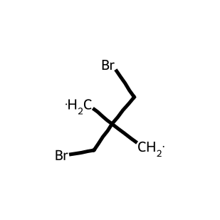 [CH2]C([CH2])(CBr)CBr